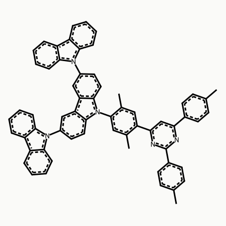 Cc1ccc(-c2cc(-c3cc(C)c(-n4c5ccc(-n6c7ccccc7c7ccccc76)cc5c5cc(-n6c7ccccc7c7ccccc76)ccc54)cc3C)nc(-c3ccc(C)cc3)n2)cc1